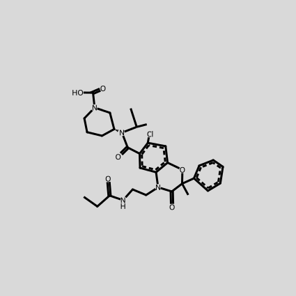 CCC(=O)NCCN1C(=O)C(C)(c2ccccc2)Oc2cc(Cl)c(C(=O)N(C(C)C)[C@@H]3CCCN(C(=O)O)C3)cc21